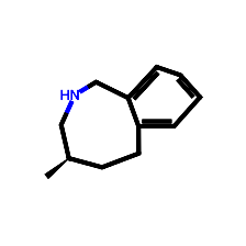 C[C@@H]1CCc2ccccc2CNC1